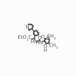 CCOC(=O)CC(NC(=O)Nc1c(O)c(C)cn(C)c1=O)c1cccc(-c2cccnc2)c1